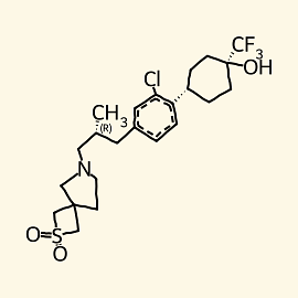 C[C@H](Cc1ccc([C@H]2CC[C@@](O)(C(F)(F)F)CC2)c(Cl)c1)CN1CCC2(C1)CS(=O)(=O)C2